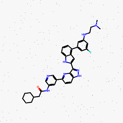 CN(C)CCNc1cc(F)cc(-c2cccc3[nH]c(-c4n[nH]c5ccc(-c6cncc(NC(=O)CC7CCCCC7)c6)nc45)cc23)c1